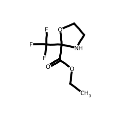 CCOC(=O)C1(C(F)(F)F)NCCO1